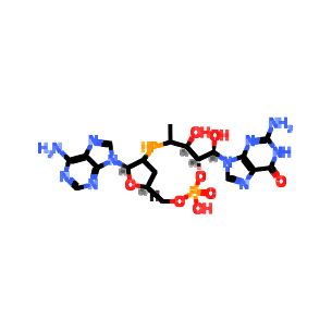 CC1PC2C[C@@H](COP(=O)(O)O[C@@H]([C@@H](O)n3cnc4c(=O)[nH]c(N)nc43)[C@@H]1O)O[C@H]2n1cnc2c(N)ncnc21